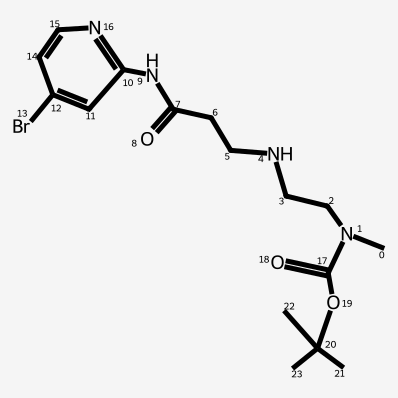 CN(CCNCCC(=O)Nc1cc(Br)ccn1)C(=O)OC(C)(C)C